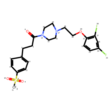 O=C(CCc1ccc(S(=O)(=O)C(F)(F)F)cc1)N1CCN(CCOc2ccc(F)cc2F)CC1